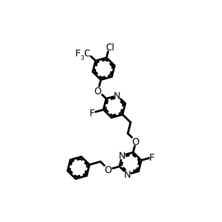 Fc1cnc(OCc2ccccc2)nc1OCCc1cnc(Oc2ccc(Cl)c(C(F)(F)F)c2)c(F)c1